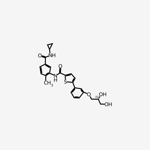 Cc1ccc(C(=O)NC2CC2)cc1NC(=O)c1ccc(-c2cccc(OC[C@@H](O)CO)c2)s1